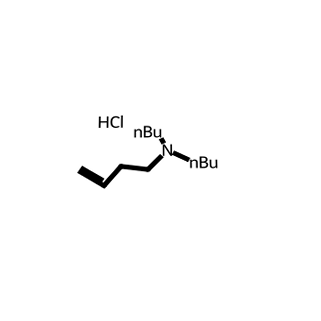 C=CCCN(CCCC)CCCC.Cl